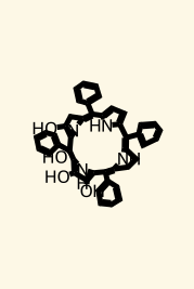 Oc1c2[nH]c(c1O)C(O)(c1ccccc1)C1=N/C(=C(/c3ccccc3)c3ccc([nH]3)/C(c3ccccc3)=C3/CC/C(=C/2c2ccccc2)N3)CC1O